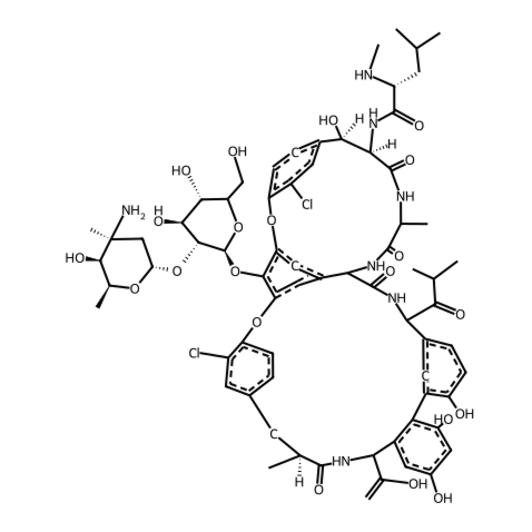 C=C(O)C1NC(=O)[C@@H](C)Cc2ccc(c(Cl)c2)Oc2cc3cc(c2O[C@@H]2OC(CO)[C@@H](O)[C@H](O)[C@H]2O[C@H]2C[C@](C)(N)[C@H](O)[C@H](C)O2)Oc2ccc(cc2Cl)[C@@H](O)[C@@H](NC(=O)[C@@H](CC(C)C)NC)C(=O)NC(C)C(=O)NC3C(=O)NC(C(=O)C(C)C)c2ccc(O)c(c2)-c2c(O)cc(O)cc21